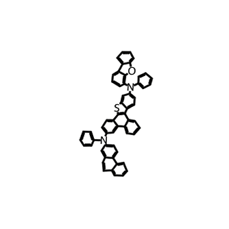 c1ccc(N(c2ccc3c(ccc4ccccc43)c2)c2ccc3c(c2)c2ccccc2c2c4ccc(N(c5ccccc5)c5cccc6c5oc5ccccc56)cc4sc32)cc1